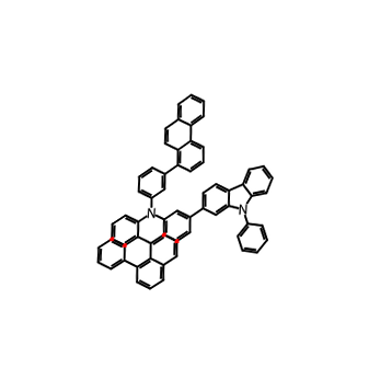 c1ccc(-c2cccc3cccc(-c4ccccc4N(c4cccc(-c5ccc6c7ccccc7n(-c7ccccc7)c6c5)c4)c4cccc(-c5cccc6c5ccc5ccccc56)c4)c23)cc1